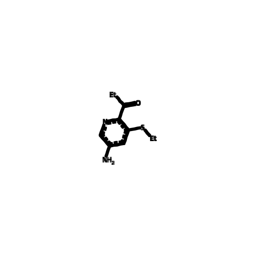 CCSc1cc(N)cnc1C(=O)CC